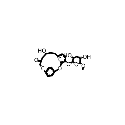 COC1O[C@@H](Oc2ccc3cc2Oc2ccc(cc2)CCC(=O)CC(O)CC3)C(O)C[C@H]1O